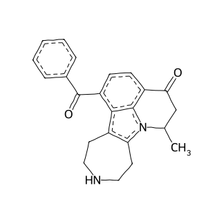 CC1CC(=O)c2ccc(C(=O)c3ccccc3)c3c4c(n1c23)CCNCC4